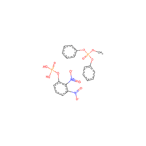 COP(=O)(Oc1ccccc1)Oc1ccccc1.O=[N+]([O-])c1cccc(OP(=O)(O)O)c1[N+](=O)[O-]